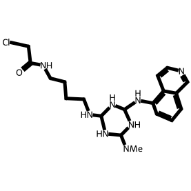 CNC1NC(NCCCCNC(=O)CCl)NC(Nc2cccc3cnccc23)N1